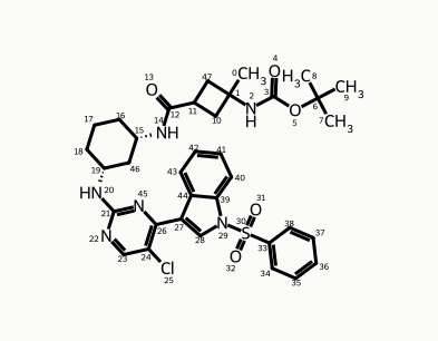 CC1(NC(=O)OC(C)(C)C)CC(C(=O)N[C@H]2CCC[C@@H](Nc3ncc(Cl)c(-c4cn(S(=O)(=O)c5ccccc5)c5ccccc45)n3)C2)C1